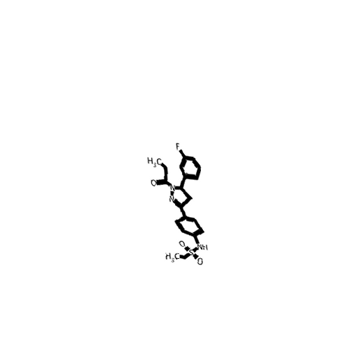 CCC(=O)N1N=C(c2ccc(NS(=O)(=O)CC)cc2)CC1c1cccc(F)c1